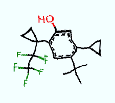 CC(C)(C)c1cc(C2(C(F)(F)C(F)(F)F)CC2)c(O)cc1C1CC1